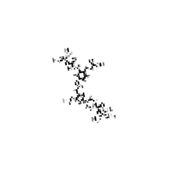 Cc1sc(N2CCN(C(=O)OC(C)(C)C)CC2)nc1CCOc1ccc(CCC(=O)O)c(CNC(=O)OC(C)C)c1